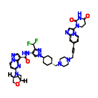 O=C1CCN(c2cnc3cc(C#CCN4CCN(C[C@H]5CC[C@H](n6cc(NC(=O)c7cnn8ccc(N9C[C@H]%10C[C@@H]9CO%10)nc78)c(C(F)F)n6)CC5)CC4)ccn23)C(=O)N1